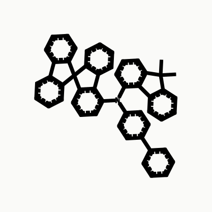 CC1(C)c2ccccc2-c2c(N(c3ccc(-c4ccccc4)cc3)c3cccc4c3-c3ccccc3C43c4ccccc4-c4ccccc43)cccc21